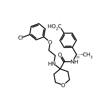 C[C@H](NC(=O)C1(NCCOc2cccc(Cl)c2)CCOCC1)c1ccc(C(=O)O)cc1